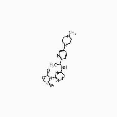 CC(Nc1ncnc(N2C(=O)OC[C@@H]2C(C)C)n1)c1ccc(N2CCN(C)CC2)cn1